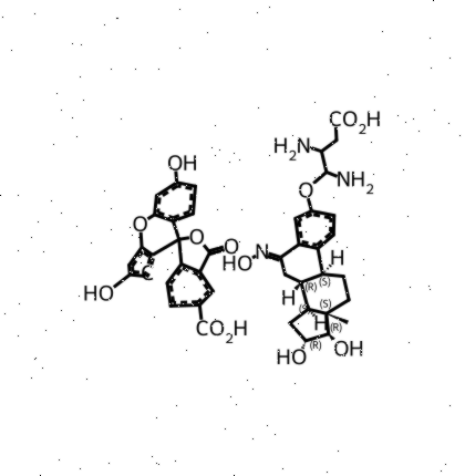 C[C@]12CC[C@@H]3c4ccc(OC(N)C(N)CC(=O)O)cc4C(=NO)C[C@H]3[C@@H]1C[C@@H](O)[C@@H]2O.O=C(O)c1ccc2c(c1)C(=O)OC21c2ccc(O)cc2Oc2cc(O)ccc21